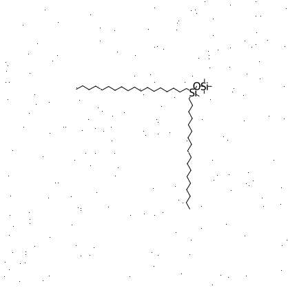 CCCCCCCCCCCCCCCCCC[Si](C)(CCCCCCCCCCCCCCCCCC)O[Si](C)(C)C